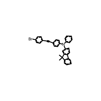 CC1(C)c2ccccc2-c2ccc(N(c3ccccc3)c3ccc(C#Cc4ccc(Br)cc4)cc3)cc21